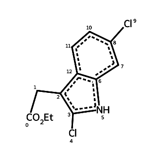 CCOC(=O)Cc1c(Cl)[nH]c2cc(Cl)ccc12